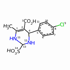 CC1=C(C(=O)O)C(c2ccc(Cl)cc2)NC(S(=O)(=O)O)N1